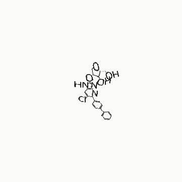 OC[C@H]1OC[C@@H](Oc2nc3nc(-c4ccc(-c5ccccc5)cc4)c(Cl)cc3[nH]2)[C@@H]1O